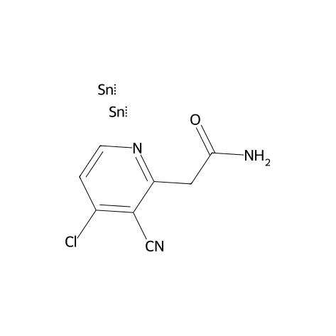 N#Cc1c(Cl)ccnc1CC(N)=O.[Sn].[Sn]